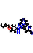 CCOc1ccc(NC2=N[N+]3(c4ccc(C#N)nc4)C=CN=CC3=N2)cc1